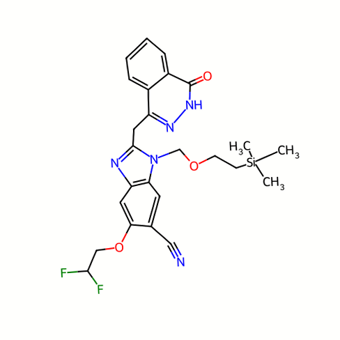 C[Si](C)(C)CCOCn1c(Cc2n[nH]c(=O)c3ccccc23)nc2cc(OCC(F)F)c(C#N)cc21